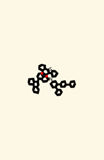 c1ccc(-c2ccc(-c3cc(N(c4ccc5c(-c6cc7ccccc7c7ccccc67)cccc5c4)c4cccc5sc6c7ccccc7ccc6c45)ccc3-c3ccccc3)cc2)cc1